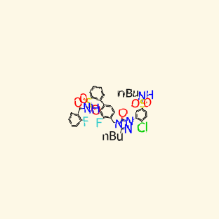 CCCCNS(=O)(=O)c1ccc(Cl)c(-n2nc(CCCC)n(Cc3ccc(-c4ccccc4S(=O)(=O)NC(=O)c4ccccc4F)cc3F)c2=O)c1